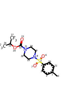 Cc1ccc(S(=O)(=O)N2CCN(C(=O)OC(C(F)(F)F)C(F)(F)F)CC2)cc1